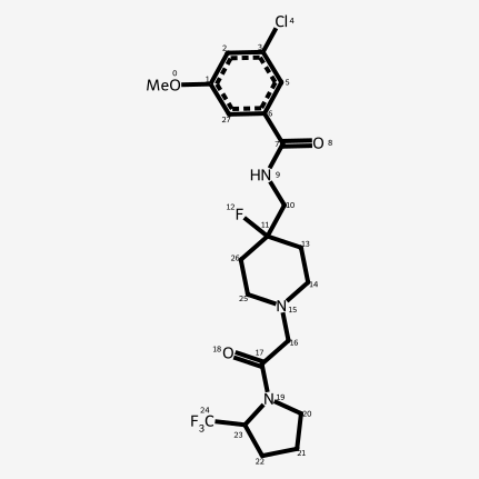 COc1cc(Cl)cc(C(=O)NCC2(F)CCN(CC(=O)N3CCCC3C(F)(F)F)CC2)c1